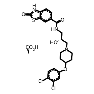 CC(=O)O.O=C(NC[C@@H](O)CN1CCC(Oc2ccc(Cl)c(Cl)c2)CC1)c1ccc2[nH]c(=O)sc2c1